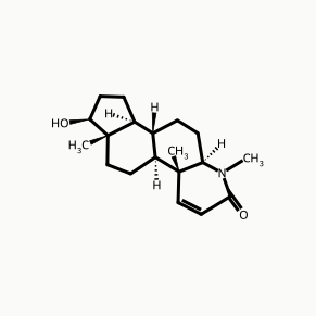 CN1C(=O)C=C[C@]2(C)[C@H]3CC[C@]4(C)[C@@H](O)CC[C@H]4[C@@H]3CC[C@@H]12